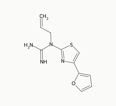 C=CCN(C(=N)N)c1nc(-c2ccco2)cs1